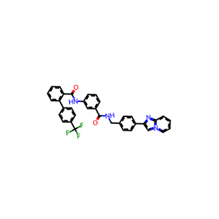 O=C(NCc1ccc(-c2cn3ccccc3n2)cc1)c1cccc(NC(=O)c2ccccc2-c2ccc(C(F)(F)F)cc2)c1